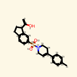 C=C(O)C1CCc2ccc(S(=O)(=O)N3CC=C(c4ccc(C)cc4)CC3)cc21